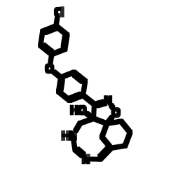 OC12CN/C=N\C=C3\CCCC1(C3)ON=C2c1ccc(Oc2ccc(Cl)cc2)cc1